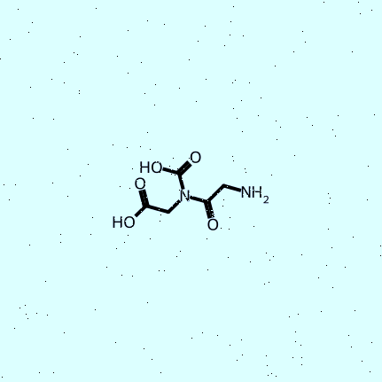 NCC(=O)N(CC(=O)O)C(=O)O